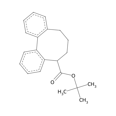 CC(C)(C)OC(=O)C1CCCc2ccccc2-c2ccccc21